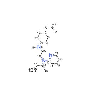 C=C(C)CC1CCC(N(C)CCN(C(=C)CC(C)(C)C)c2ccccn2)CC1